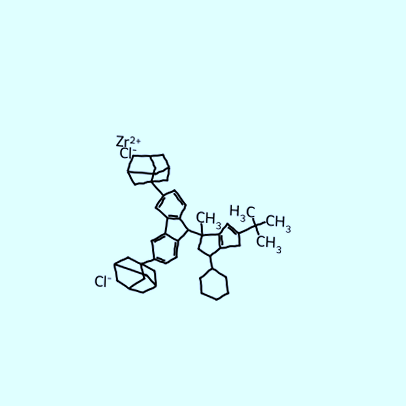 CC(C)(C)C1=CC2=C(C1)C(C1CCCCC1)CC2(C)C1c2ccc(C34CC5CC(CC(C5)C3)C4)cc2-c2cc(C34CC5CC(CC(C5)C3)C4)ccc21.[Cl-].[Cl-].[Zr+2]